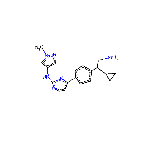 Cn1cc(Nc2nccc(-c3ccc(C(CN)C4CC4)cc3)n2)cn1